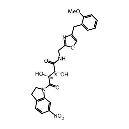 COc1ccccc1Cc1coc(CNC(=O)[C@H](O)[C@@H](O)C(=O)N2CCc3ccc([N+](=O)[O-])cc32)n1